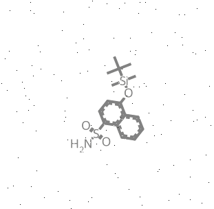 CC(C)(C)[Si](C)(C)Oc1ccc(S(N)(=O)=O)c2ccccc12